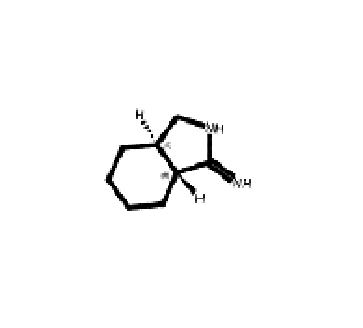 N=C1NC[C@@H]2CCCC[C@@H]12